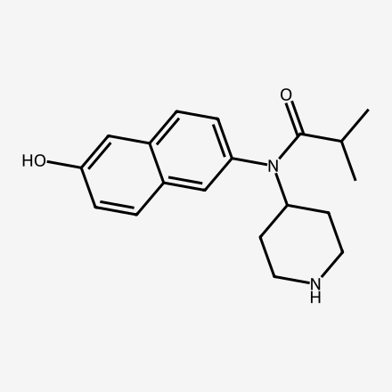 CC(C)C(=O)N(c1ccc2cc(O)ccc2c1)C1CCNCC1